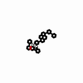 c1ccc(-c2cccc(-c3ccc4ccc5c(-c6ccc(N(c7ccccc7-c7ccccc7)c7cccc8c7oc7ccccc78)cc6)ccc6ccc3c4c65)c2)cc1